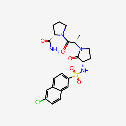 C[C@@H](C(=O)N1CCC[C@H]1C(N)=O)N1CC[C@H](NS(=O)(=O)c2ccc3cc(Cl)ccc3c2)C1=O